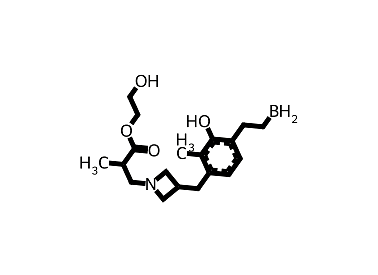 BCCc1ccc(CC2CN(CC(C)C(=O)OCCO)C2)c(C)c1O